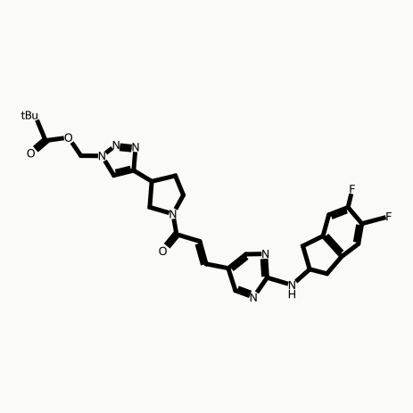 CC(C)(C)C(=O)OCn1cc(C2CCN(C(=O)C=Cc3cnc(NC4Cc5cc(F)c(F)cc5C4)nc3)C2)nn1